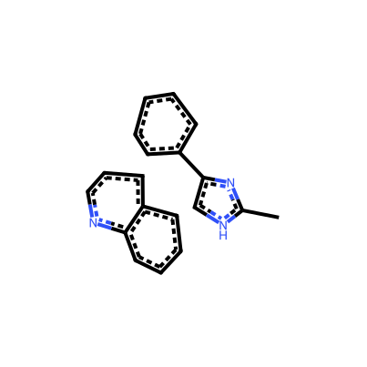 Cc1nc(-c2ccccc2)c[nH]1.c1ccc2ncccc2c1